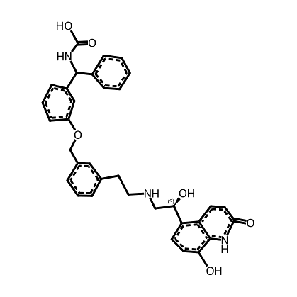 O=C(O)NC(c1ccccc1)c1cccc(OCc2cccc(CCNC[C@@H](O)c3ccc(O)c4[nH]c(=O)ccc34)c2)c1